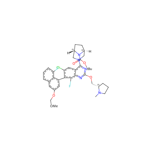 COCOc1cc(-c2c(Cl)cc3c(N4C[C@@H]5CC[C@@H](C4)N5C(=O)OC(C)(C)C)nc(OC[C@@H]4CCCN4C)nc3c2F)c2c(F)cccc2c1